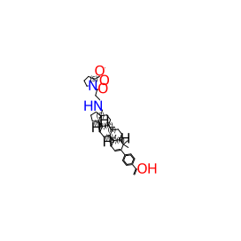 C=C(O)c1ccc(C2=CC[C@]3(C)[C@H]4CC[C@@H]5[C@H]6CCC[C@]6(CNCCC(=O)N6CCC[C@H]6C(=O)OC)CC[C@@]5(C)[C@]4(C)CC[C@H]3C2(C)C)cc1